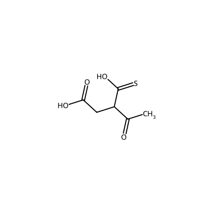 CC(=O)C(CC(=O)O)C(O)=S